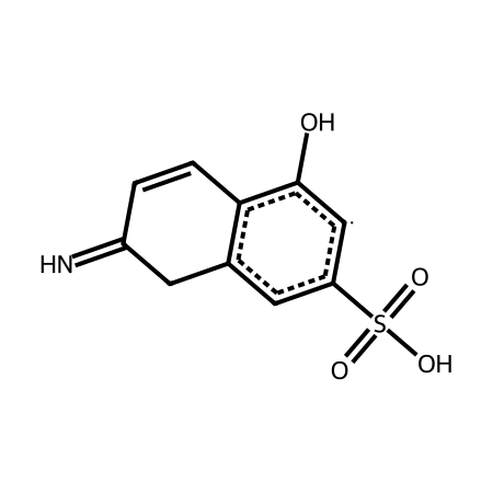 N=C1C=Cc2c(O)[c]c(S(=O)(=O)O)cc2C1